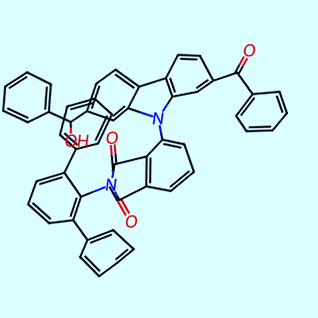 O=C(c1ccccc1)c1ccc2c3ccc(C(O)c4ccccc4)cc3n(-c3cccc4c3C(=O)N(c3c(-c5ccccc5)cccc3-c3ccccc3)C4=O)c2c1